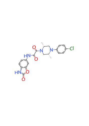 C[C@@H]1CN(c2ccc(Cl)cc2)[C@H](C)CN1C(=O)C(=O)Nc1ccc2[nH]c(=O)oc2c1